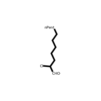 CCCCCCCCCCC(Cl)[C]=O